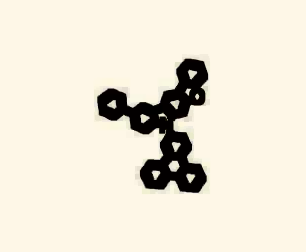 c1ccc(-c2ccc3c(c2)c2cc4c(cc2n3-c2ccc3c5ccccc5c5ccccc5c3c2)oc2ccccc24)cc1